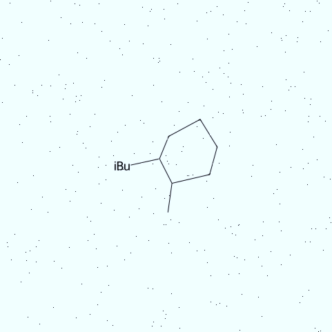 CCC(C)C1CCCCC1C